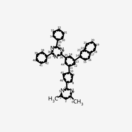 Cc1cc(C)nc(-c2ccc(-c3cc(-c4ccc5ccccc5c4)cc(-c4nc(-c5ccccc5)nc(-c5ccccc5)n4)c3)cc2)n1